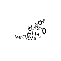 COc1ccc(N(C)C(=O)CNC(=Nc2ccc(F)cc2)SCc2ccccc2)cc1OC